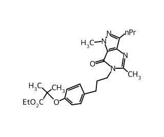 CCCc1nn(C)c2c(=O)n(CCCc3ccc(OC(C)(C)C(=O)OCC)cc3)c(C)nc12